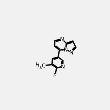 Cc1cc(-c2ccnc3ccnn23)cnc1F